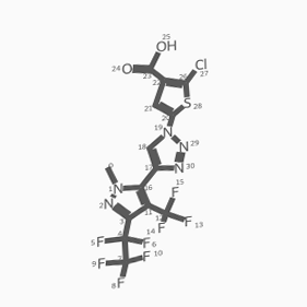 Cn1nc(C(F)(F)C(F)(F)F)c(C(F)(F)F)c1-c1cn(-c2cc(C(=O)O)c(Cl)s2)nn1